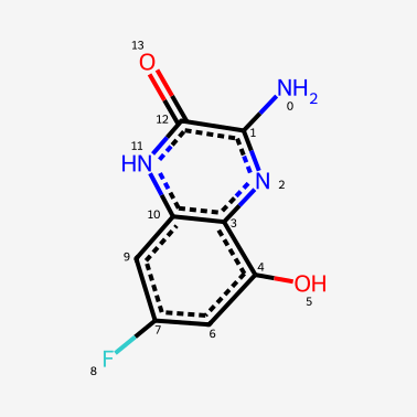 Nc1nc2c(O)cc(F)cc2[nH]c1=O